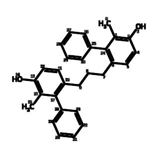 Cc1c(O)ccc(CCCc2ccc(O)c(C)c2-c2ccccc2)c1-c1ccccc1